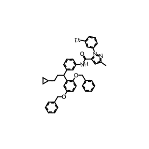 CCc1cccc(-n2nc(C)cc2C(=O)Nc2cccc(C(CCC3CC3)c3cc(OCc4ccccc4)ccc3OCc3ccccc3)c2)c1